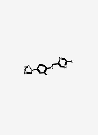 Fc1cc(-n2cnnn2)ccc1OCc1cnc(Cl)cn1